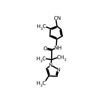 Cc1cnn(C(C)(C)C(=O)Nc2ccc(C#N)c(C)c2)c1